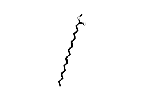 CCCCCCC=CCCCCCCCCC(=O)OC